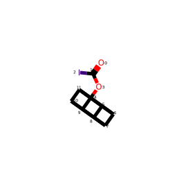 O=C(I)OC12C3C4C5C3C1C5C42